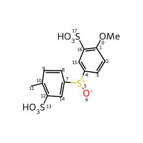 COc1ccc([S+]([O-])c2ccc(C)c(S(=O)(=O)O)c2)cc1S(=O)(=O)O